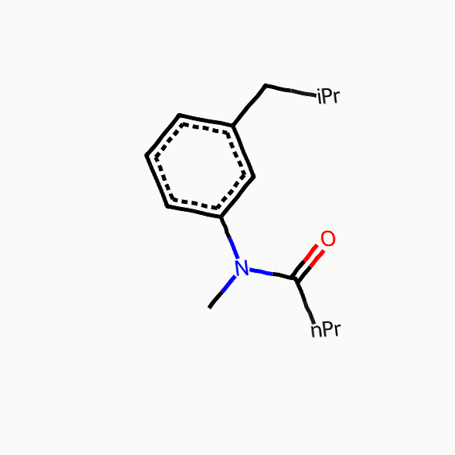 CCCC(=O)N(C)c1cccc(CC(C)C)c1